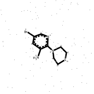 Nc1cc(Br)cnc1N1CCSCC1